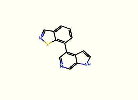 c1cc(-c2cncc3[nH]ccc23)c2sncc2c1